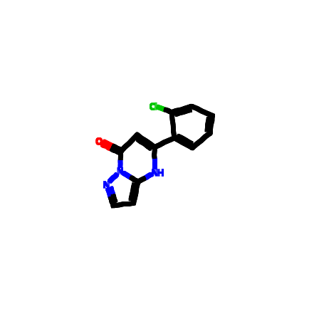 O=c1cc(-c2ccccc2Cl)[nH]c2ccnn12